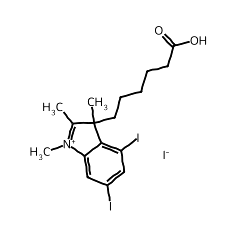 CC1=[N+](C)c2cc(I)cc(I)c2C1(C)CCCCCC(=O)O.[I-]